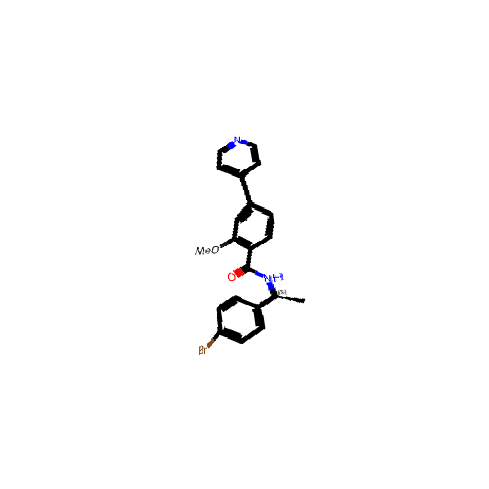 COc1cc(-c2ccncc2)ccc1C(=O)N[C@@H](C)c1ccc(Br)cc1